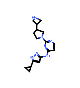 c1cc(Nc2cc(C3CC3)[nH]n2)nc(N2CCC(C3CNC3)C2)n1